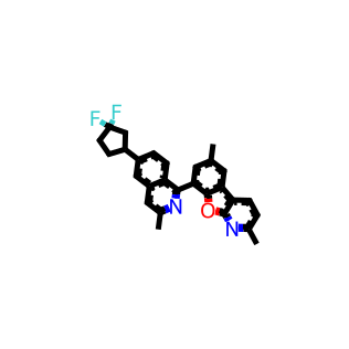 Cc1cc(-c2nc(C)cc3cc(C4CCC(F)(F)C4)ccc23)c2oc3nc(C)ccc3c2c1